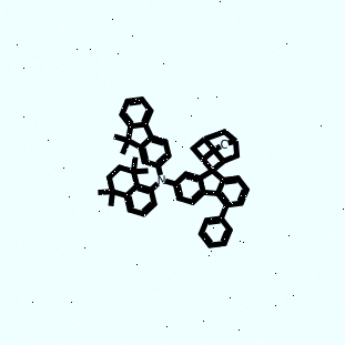 CC1(C)CCC(C)(C)c2c(N(c3ccc4c(c3)C(C)(C)c3ccccc3-4)c3ccc4c(c3)C3(c5cccc(-c6ccccc6)c5-4)C4CC5CC6CC3C64C5)cccc21